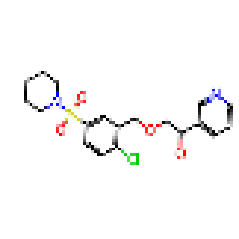 O=C(COCc1cc(S(=O)(=O)N2CCCCC2)ccc1Cl)c1cccnc1